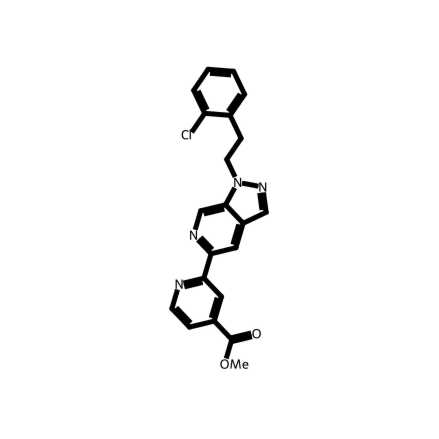 COC(=O)c1ccnc(-c2cc3cnn(CCc4ccccc4Cl)c3cn2)c1